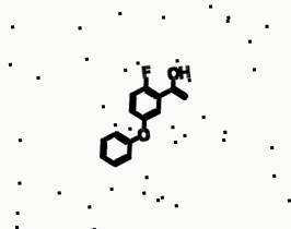 C=C(O)c1cc(Oc2ccccc2)ccc1F